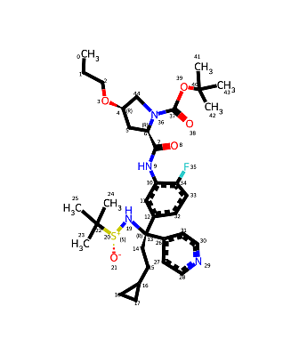 CCCO[C@@H]1C[C@H](C(=O)Nc2cc([C@@](CCC3CC3)(N[S@+]([O-])C(C)(C)C)c3ccncc3)ccc2F)N(C(=O)OC(C)(C)C)C1